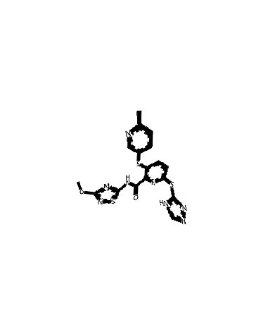 COc1nsc(NC(=O)c2nc(Sc3nnc[nH]3)ccc2Sc2ccc(C)nc2)n1